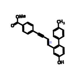 COC(=O)c1ccc(C#C/C=C/c2cc(O)ccc2-c2ccc(C)cc2)cc1